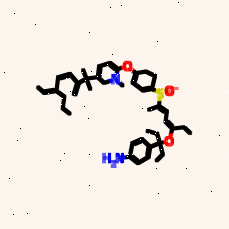 C=C(/C=C\C(=C/C)CCC)C(C)(C)C1=CC=C(OC2=CC=C([S+]([O-])/C(C)=C/C=C(\CC)OC(CC)(CC)c3ccc(N)cc3)CC2)N(C)C1